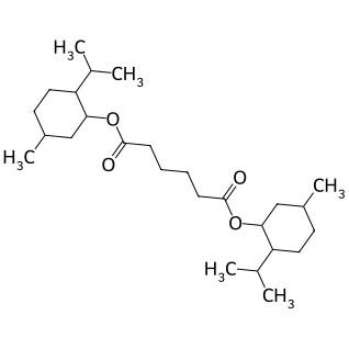 CC1CCC(C(C)C)C(OC(=O)CCCCC(=O)OC2CC(C)CCC2C(C)C)C1